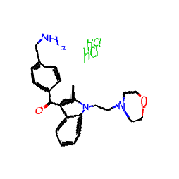 Cc1c(C(=O)c2ccc(CN)cc2)c2ccccc2n1CCN1CCOCC1.Cl.Cl